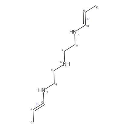 C/C=C/NCCNCCN/C=C/C